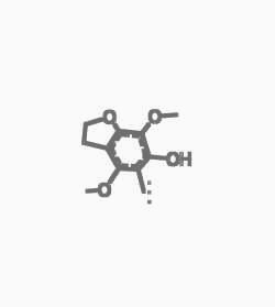 [C]c1c(O)c(OC)c2c(c1OC)CCO2